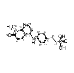 Cn1c(=O)ccc2c(Nc3ccc(CCP(=O)(O)O)cc3)ncnc21